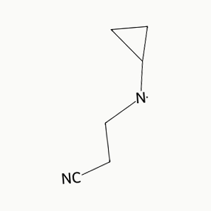 N#CCC[N]C1CC1